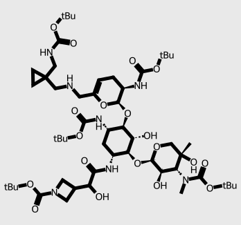 CN(C(=O)OC(C)(C)C)[C@@H]1[C@@H](O)[C@@H](O[C@@H]2[C@@H](O)[C@H](O[C@H]3OC(CNCC4(CNC(=O)OC(C)(C)C)CC4)=CC[C@H]3NC(=O)OC(C)(C)C)[C@@H](NC(=O)OC(C)(C)C)C[C@H]2NC(=O)C(O)C2CN(C(=O)OC(C)(C)C)C2)OC[C@]1(C)O